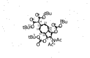 CC(=O)N(C(C)=O)c1c(OC(=O)OC(C)(C)C)c2ccc(C(C(=O)OC(C)(C)C)C(=O)OC(C)(C)C)ccc-2c1OC(=O)OC(C)(C)C